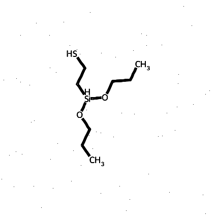 CCCO[SiH](CCS)OCCC